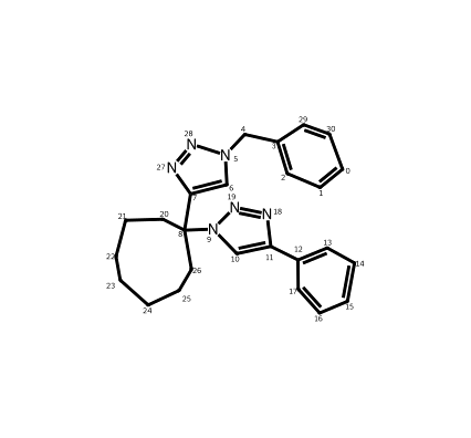 c1ccc(Cn2cc(C3(n4cc(-c5ccccc5)nn4)CCCCCCC3)nn2)cc1